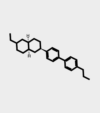 CCCc1ccc(-c2ccc([C@@H]3CC[C@@H]4CC(CC)CC[C@@H]4C3)cc2)cc1